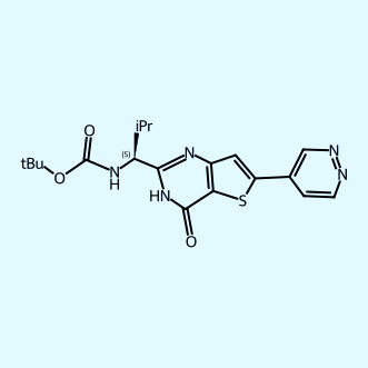 CC(C)[C@H](NC(=O)OC(C)(C)C)c1nc2cc(-c3ccnnc3)sc2c(=O)[nH]1